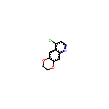 Clc1ccnc2cc3c(cc12)OCCO3